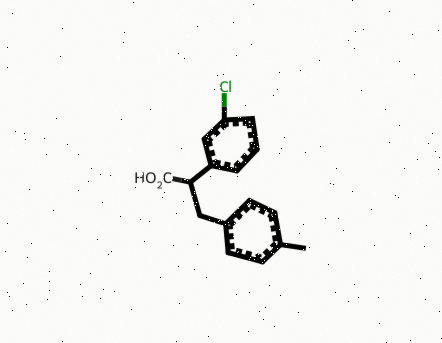 Cc1ccc(CC(C(=O)O)c2cccc(Cl)c2)cc1